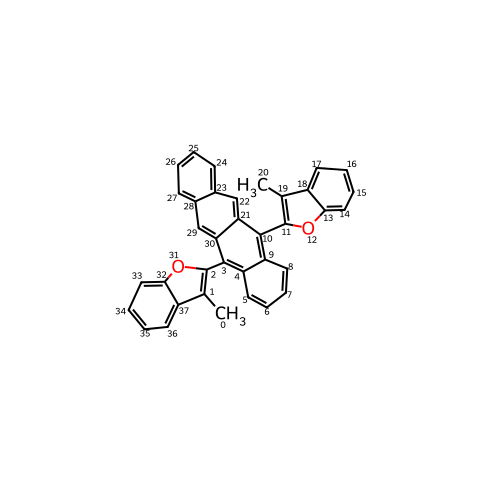 Cc1c(-c2c3ccccc3c(-c3oc4ccccc4c3C)c3cc4ccccc4cc23)oc2ccccc12